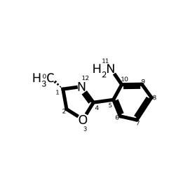 C[C@H]1COC(c2ccccc2N)=N1